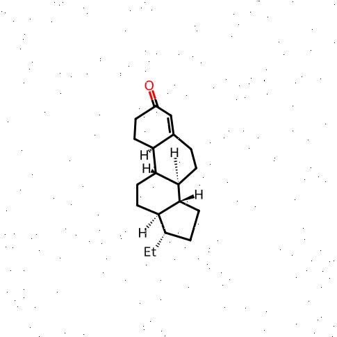 CC[C@H]1CC[C@H]2[C@@H]3CCC4=CC(=O)CC[C@@H]4[C@H]3CC[C@H]12